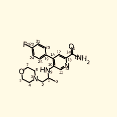 CC(CN1CCOCC1)Nc1cnc(C(N)=O)cc1-c1ccc(F)cc1